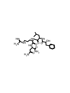 CC(C)CC(NC(=O)C(O)Cc1ccccc1)C(=O)NC(CCCNC(=N)N)C(=O)NC(CC(N)=O)C(N)=O